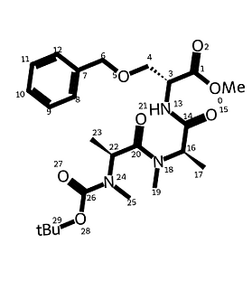 COC(=O)[C@@H](COCc1ccccc1)NC(=O)[C@@H](C)N(C)C(=O)[C@H](C)N(C)C(=O)OC(C)(C)C